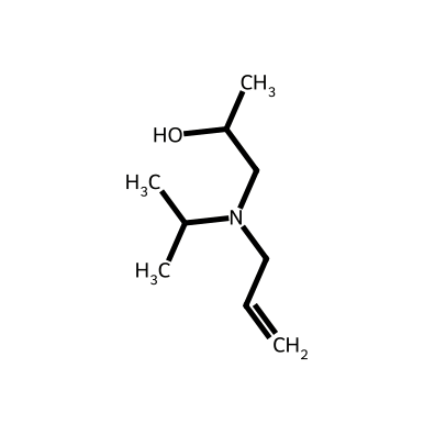 C=CCN(CC(C)O)C(C)C